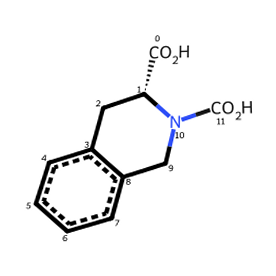 O=C(O)[C@H]1Cc2ccccc2CN1C(=O)O